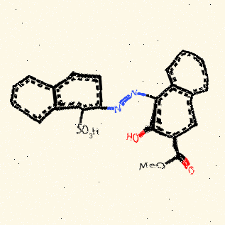 COC(=O)c1cc2ccccc2c(/N=N/c2ccc3ccccc3c2S(=O)(=O)O)c1O